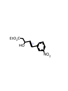 CCOC(=O)CC(O)/C=C/c1cccc([N+](=O)[O-])c1